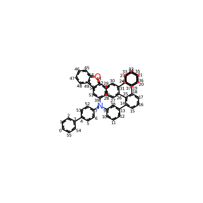 c1ccc(-c2ccc(N(c3cccc(-c4cccc(-c5ccccc5)c4-c4ccccc4-c4ccccc4)c3)c3ccc4oc5ccccc5c4c3)cc2)cc1